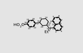 CCN(c1cccc2ccccc12)C1CCCC(c2ccc(C(=O)O)cc2)C1